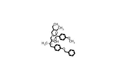 CCC(CC)CN(C[C@@H](O)[C@@H](C)Cc1ccc(OCc2ccccc2)cc1)S(=O)(=O)c1ccc(OC)cc1